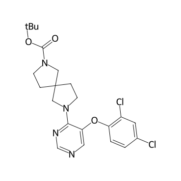 CC(C)(C)OC(=O)N1CCC2(CCN(c3ncncc3Oc3ccc(Cl)cc3Cl)C2)C1